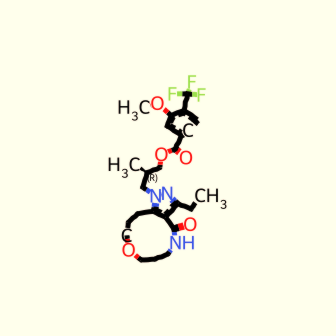 CCc1nn(C[C@@H](C)COC(=O)c2ccc(C(F)(F)F)c(OC)c2)c2c1C(=O)NCCCOCCC2